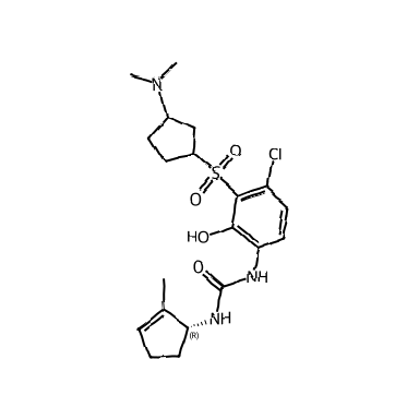 CC1=CCC[C@H]1NC(=O)Nc1ccc(Cl)c(S(=O)(=O)C2CCC(N(C)C)C2)c1O